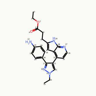 CCOC(=O)CCc1cc2c(-c3cn(CC)nc3-c3ccc(N)cc3)ccnc2[nH]1